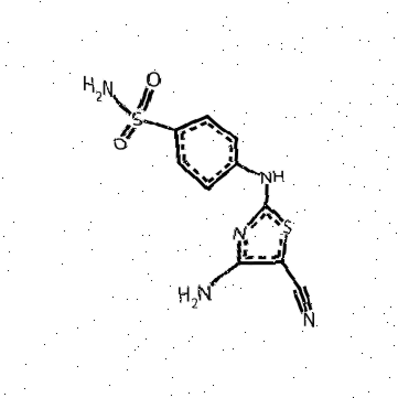 N#Cc1sc(Nc2ccc(S(N)(=O)=O)cc2)nc1N